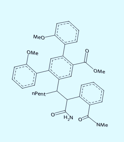 CCCCCC(c1cc(C(=O)OC)c(-c2ccccc2OC)cc1-c1ccccc1OC)C(C(N)=O)c1ccccc1C(=O)NC